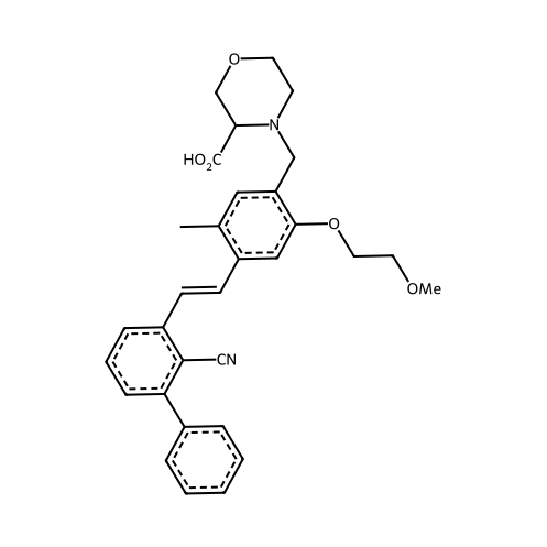 COCCOc1cc(C=Cc2cccc(-c3ccccc3)c2C#N)c(C)cc1CN1CCOCC1C(=O)O